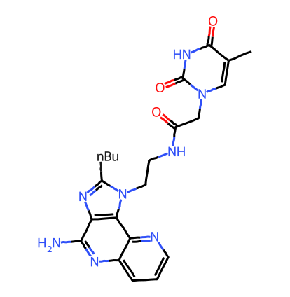 CCCCc1nc2c(N)nc3cccnc3c2n1CCNC(=O)Cn1cc(C)c(=O)[nH]c1=O